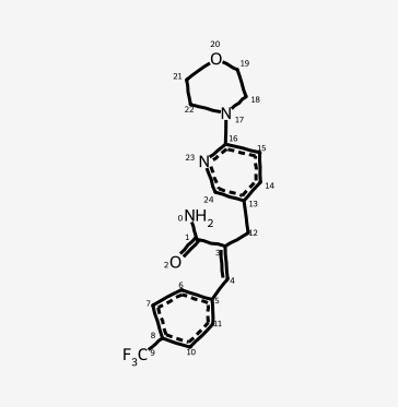 NC(=O)/C(=C\c1ccc(C(F)(F)F)cc1)Cc1ccc(N2CCOCC2)nc1